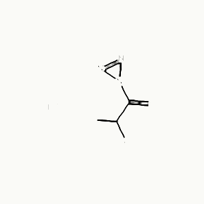 CC(C)C(=O)N1N=N1.Cl.Cl